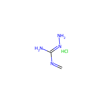 C=NC(N)=NN.Cl